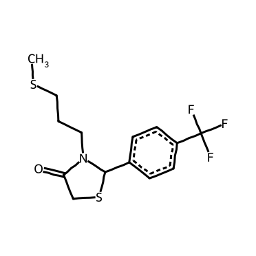 CSCCCN1C(=O)CSC1c1ccc(C(F)(F)F)cc1